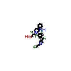 C[C@@H]1Cc2c([nH]c3ccccc23)[C@@H](c2c(F)cc([C@H](F)C3CN(CCCF)C3)cc2F)N1CC(F)CO